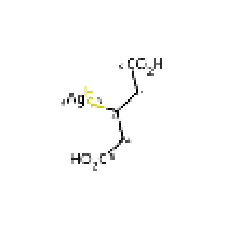 O=C(O)CC(S)CC(=O)O.[Ag]